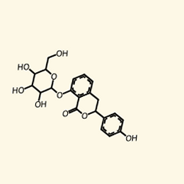 O=C1OC(c2ccc(O)cc2)Cc2cccc(OC3OC(CO)C(O)C(O)C3O)c21